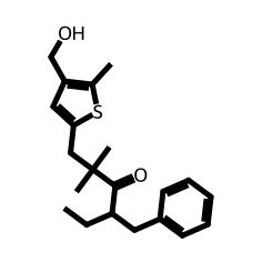 CCC(Cc1ccccc1)C(=O)C(C)(C)Cc1cc(CO)c(C)s1